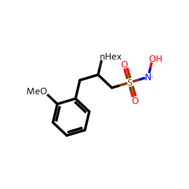 CCCCCCC(Cc1ccccc1OC)CS(=O)(=O)[N]O